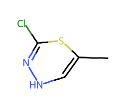 CC1=CNN=C(Cl)S1